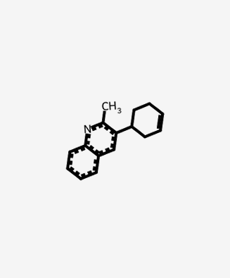 Cc1nc2ccccc2cc1C1CC=CCC1